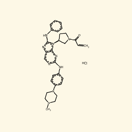 C=CC(=O)N1CCC(n2c(Nc3ccccc3)nc3cnc(Nc4ccc(N5CCN(C)CC5)cc4)nc32)C1.Cl